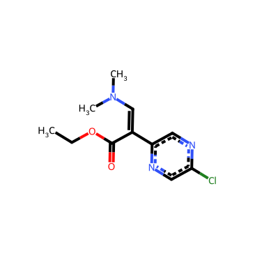 CCOC(=O)C(=CN(C)C)c1cnc(Cl)cn1